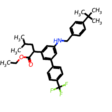 CCOC(=O)C(CC(C)C)c1cc(NCc2ccc(C(C)(C)C)cc2)cc(-c2ccc(C(F)(F)F)cc2)c1